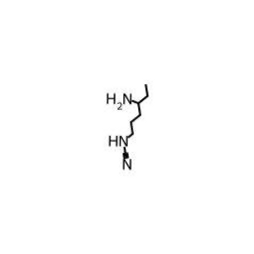 CCC(N)CCCNC#N